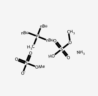 CCCC[P+](C)(CCCC)CCCC.COS(=O)(=O)O.COS(=O)(=O)[O-].N